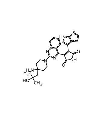 CC(C)(O)CC1(N)CCN(c2nc(C3=C(c4c[nH]c5sccc45)C(=O)NC3=O)c3ccccc3n2)CC1